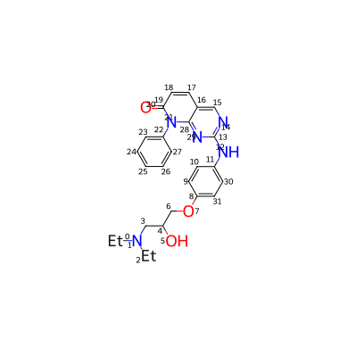 CCN(CC)CC(O)COc1ccc(Nc2ncc3ccc(=O)n(-c4ccccc4)c3n2)cc1